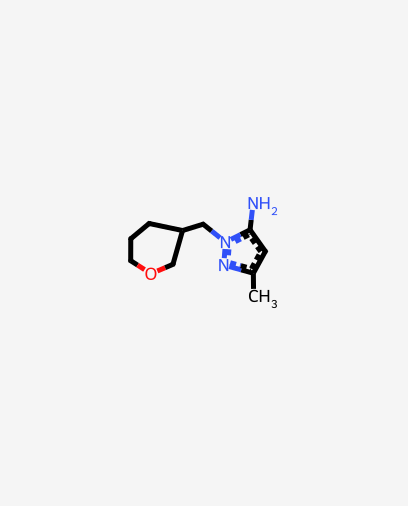 Cc1cc(N)n(CC2CCCOC2)n1